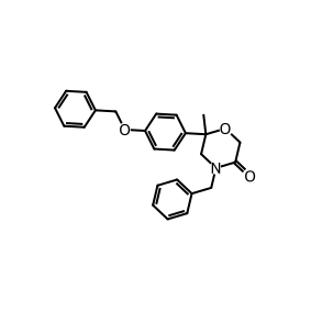 CC1(c2ccc(OCc3ccccc3)cc2)CN(Cc2ccccc2)C(=O)CO1